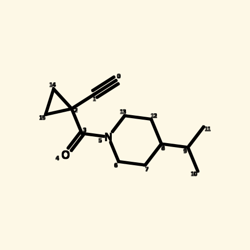 C#CC1(C(=O)N2CCC(C(C)C)CC2)CC1